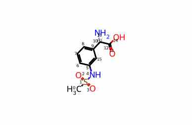 CS(=O)(=O)Nc1cccc([C@H](N)C(=O)O)c1